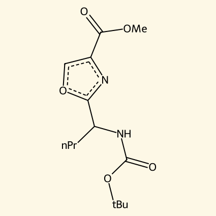 CCCC(NC(=O)OC(C)(C)C)c1nc(C(=O)OC)co1